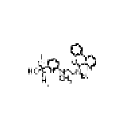 CCN(CCN(C)c1cccc(C(C)(C)O)n1)C(=O)c1ncccc1-c1ccccc1